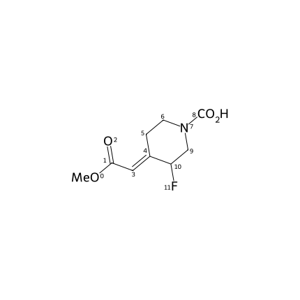 COC(=O)C=C1CCN(C(=O)O)CC1F